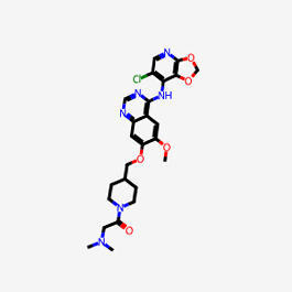 COc1cc2c(Nc3c(Cl)cnc4c3OCO4)ncnc2cc1OCC1CCN(C(=O)CN(C)C)CC1